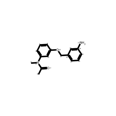 CC(=O)N(C)c1cccc(OCc2cccc(N)c2)c1